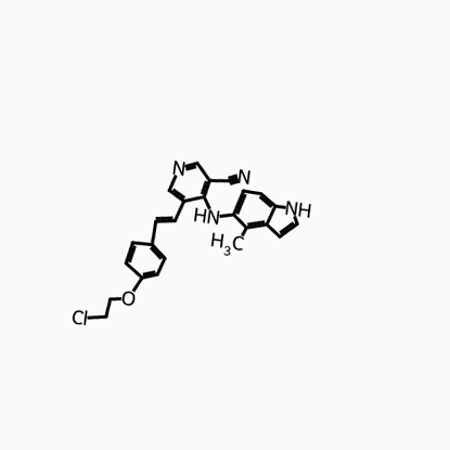 Cc1c(Nc2c(C#N)cncc2C=Cc2ccc(OCCCl)cc2)ccc2[nH]ccc12